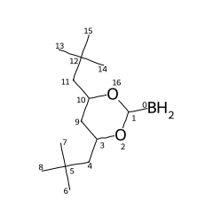 BC1OC(CC(C)(C)C)CC(CC(C)(C)C)O1